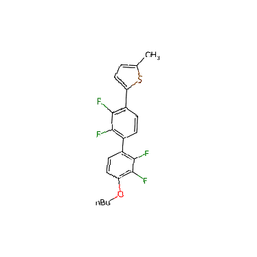 CCCCOc1ccc(-c2ccc(-c3ccc(C)s3)c(F)c2F)c(F)c1F